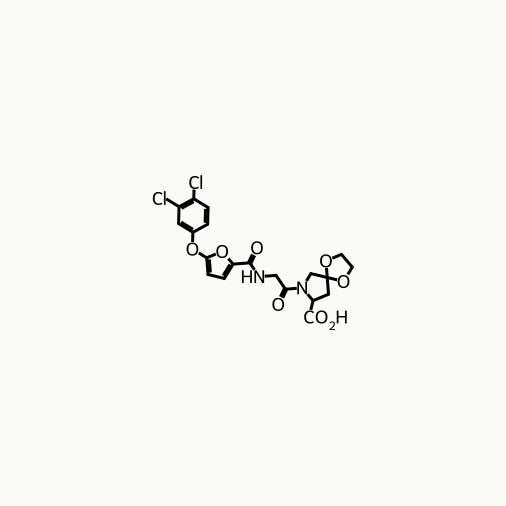 O=C(NCC(=O)N1CC2(CC1C(=O)O)OCCO2)c1ccc(Oc2ccc(Cl)c(Cl)c2)o1